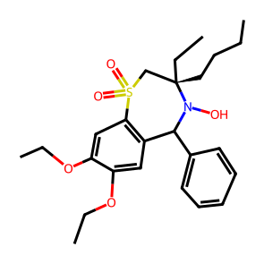 CCCC[C@]1(CC)CS(=O)(=O)c2cc(OCC)c(OCC)cc2C(c2ccccc2)N1O